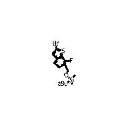 CC(C)(C)[Si](C)(C)OCc1ccc2cc(Br)sc2c1F